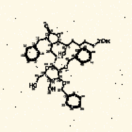 CCCCCCCCCCCCCC[C@H](O)[C@H]1OC(=O)N(Cc2ccccc2)C1CC[C@H]1OC(CO)[C@H](O)[C@H](OCc2ccccc2)C1OCc1ccccc1